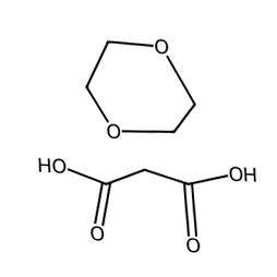 C1COCCO1.O=C(O)CC(=O)O